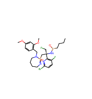 CCCC[S+]([O-])N[C@@](CF)(CS1(=O)=NCCCCN1Cc1ccc(OC)cc1OC)c1nc(Br)ccc1F